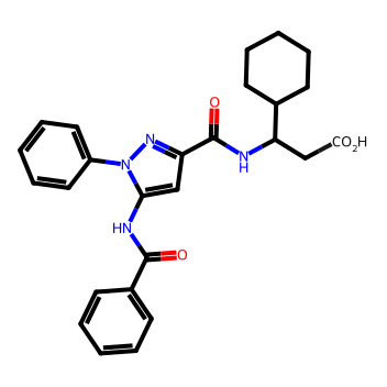 O=C(O)CC(NC(=O)c1cc(NC(=O)c2ccccc2)n(-c2ccccc2)n1)C1CCCCC1